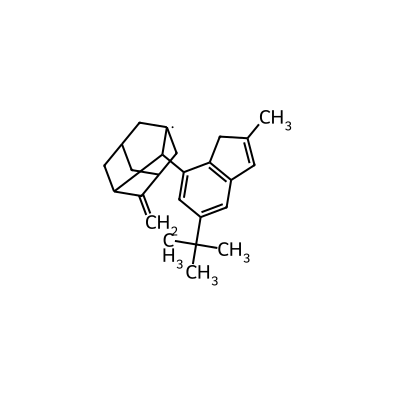 C=C1C2C[C]3CC(C2)CC1C3c1cc(C(C)(C)C)cc2c1CC(C)=C2